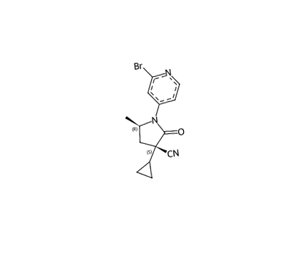 C[C@@H]1C[C@@](C#N)(C2CC2)C(=O)N1c1ccnc(Br)c1